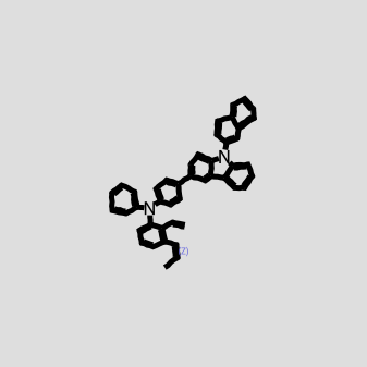 C=Cc1c(/C=C\C)cccc1N(c1ccccc1)c1ccc(-c2ccc3c(c2)c2ccccc2n3-c2ccc3ccccc3c2)cc1